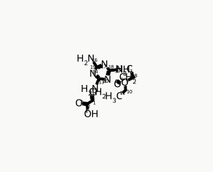 C=CC(=O)O.C=O.CCOCC.Nc1nc(N)nc(N)n1